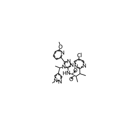 COc1cccc(-c2nnc(NS(=O)(=O)C(C)C(C)c3ncc(Cl)cn3)n2C(C)c2cnn(C)c2)n1